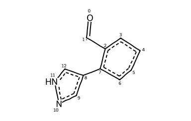 O=[C]c1ccccc1-c1cn[nH]c1